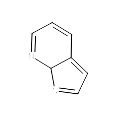 C1=CC2=CC=NC2N=C1